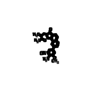 [C-]#[N+]c1cc(-c2ccc3ccc4c(c3c2)CN(CC(=C)C(N)=O)C4=O)cc(OC)c1N